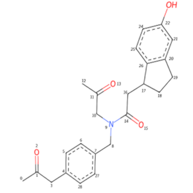 CC(=O)Cc1ccc(CN(CC(C)=O)C(=O)CC2CCc3cc(O)ccc32)cc1